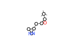 Cc1cc(C)c(-c2ccc3oc4ccc(-c5cccc(-c6ccc7c(c6)c6ccccc6c6nccnc76)c5)cc4c3c2)c(C)c1